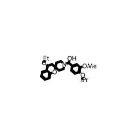 CCOC1CC2(CCN(C(O)c3ccc(OC(C)C)c(OC)c3)CC2)Oc2ccccc21